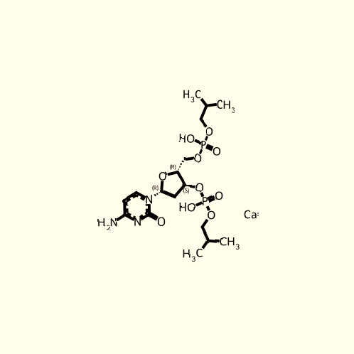 CC(C)COP(=O)(O)OC[C@H]1O[C@@H](n2ccc(N)nc2=O)C[C@@H]1OP(=O)(O)OCC(C)C.[Ca]